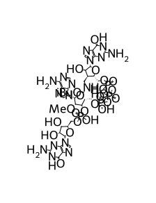 CO[C@@H]1[C@H](OP(=O)(O)OC[C@H]2O[C@@H](n3cnc4c(=O)[nH]c(N)nc43)[C@H](O)[C@@H]2O)[C@@H](COP(=O)(O)OP(=O)(O)OP(=O)(O)OC[C@H]2O[C@@H](n3cnc4c(=O)[nH]c(N)nc43)[C@H](O)[C@@H]2CNCOCC(C)C)O[C@H]1n1cnc2c(N)ncnc21